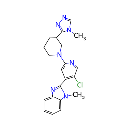 Cn1cnnc1C1CCCN(c2cc(-c3nc4ccccc4n3C)c(Cl)cn2)C1